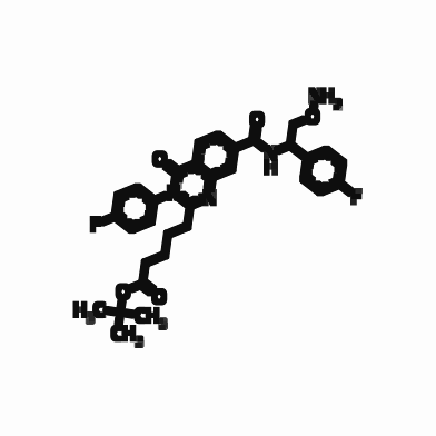 CC(C)(C)OC(=O)CCCCc1nc2cc(C(=O)NC(CON)c3ccc(F)cc3)ccc2c(=O)n1-c1ccc(F)cc1